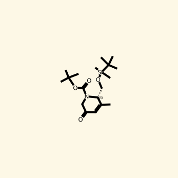 CC1=CC(=O)CN(C(=O)OC(C)(C)C)[C@@H]1CO[Si](C)(C)C(C)(C)C